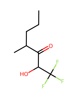 CCCC(C)C(=O)C(O)C(F)(F)F